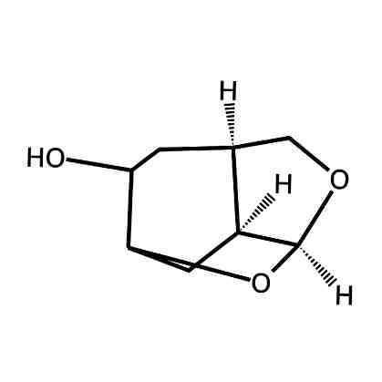 OC1C[C@H]2CO[C@H]3OC1C[C@@H]23